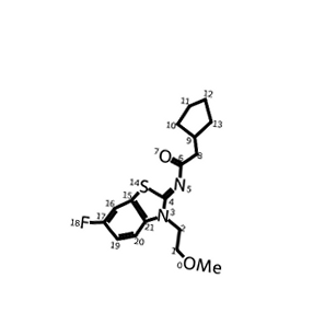 COCCn1/c(=N/C(=O)CC2CCCC2)sc2cc(F)ccc21